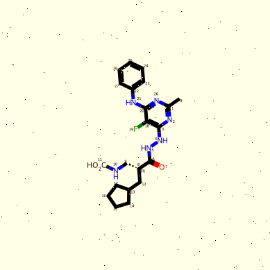 Cc1nc(NNC(=O)[C@@H](CNC(=O)O)CC2CCCC2)c(F)c(Nc2ccccc2)n1